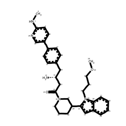 CNc1ccc(-c2ccc(C[C@@H](N)CC(=O)N3CCCC(c4cc5ccccc5n4CCCOC)C3)cc2)cn1